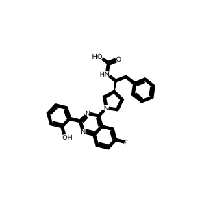 O=C(O)NC(Cc1ccccc1)[C@H]1CCN(c2nc(-c3ccccc3O)nc3ccc(F)cc23)C1